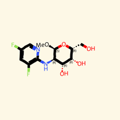 CO[C@H]1O[C@H](CO)[C@H](O)[C@H](O)[C@H]1Nc1ncc(F)cc1F